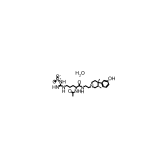 CC(=O)NC(CCCNC(=N)N[N+](=O)[O-])C(=O)NCCN1CC[C@](C)(c2cccc(O)c2)[C@@H](C)C1.O